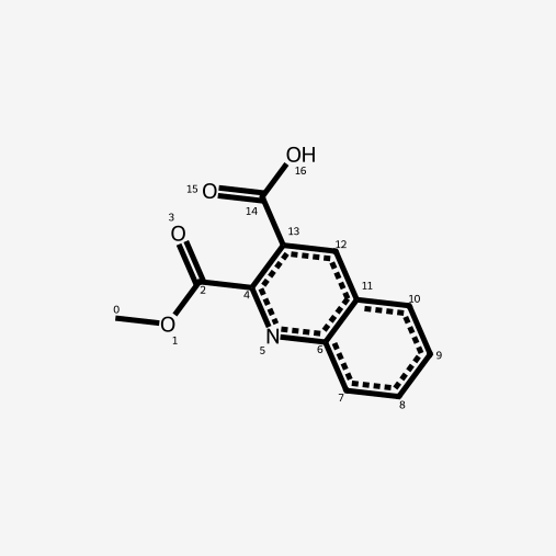 COC(=O)c1nc2ccccc2cc1C(=O)O